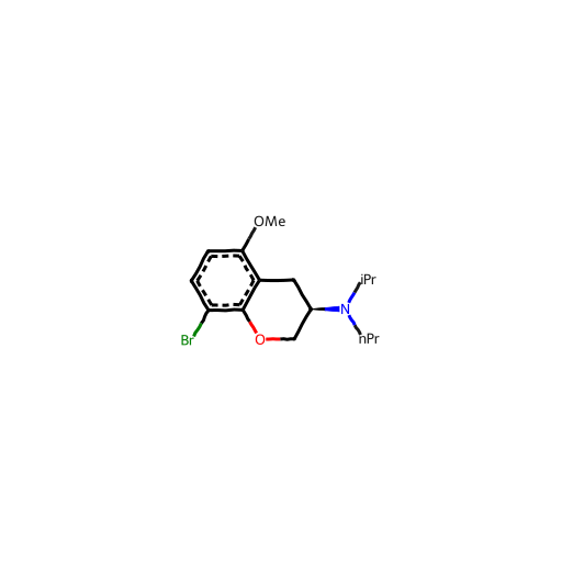 CCCN(C(C)C)[C@H]1COc2c(Br)ccc(OC)c2C1